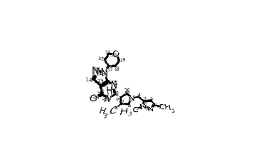 Cc1cc(CN2C[C@@H](C)[C@H](c3nc4c(cnn4C4CCOCC4)c(=O)[nH]3)C2)n(C)n1